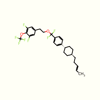 C/C=C/CC[C@H]1CC[C@H](c2ccc(C(F)(F)OCCc3cc(F)c(OC(F)(F)F)c(F)c3)cc2)CC1